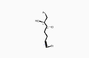 CC/C=C\CC[C@@H](Cl)[C@@H](O)CC(C)=O